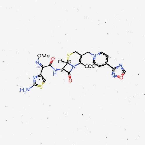 CO/N=C(\C(=O)N[C@@H]1C(=O)N2C(C(=O)[O-])=C(C[n+]3ccc(-c4ncon4)cc3)CS[C@@H]12)c1csc(N)n1